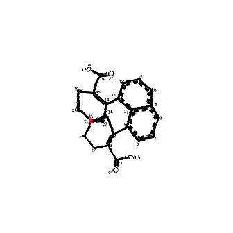 O=C(O)C1=C(c2cccc3cccc(C4=C(C(=O)O)CCCC4)c23)CCCC1